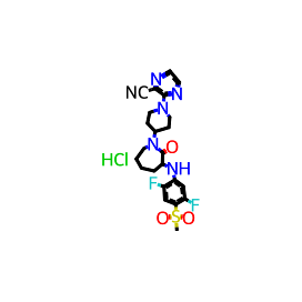 CS(=O)(=O)c1cc(F)c(NC2CCCCN(C3CCN(c4nccnc4C#N)CC3)C2=O)cc1F.Cl